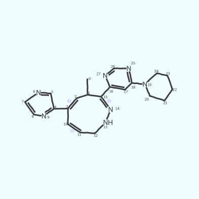 CC1/C=C(c2cnccn2)\C=C/CN/N=C\1c1cc(N2CCCCC2)ncn1